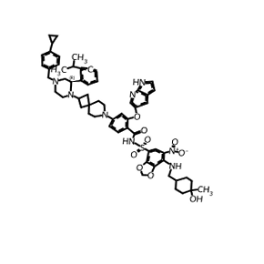 CC(C)c1ccccc1[C@@H]1CN(Cc2ccc(C3CC3)cc2)CCN1C1CC2(CCN(c3ccc(C(=O)NS(=O)(=O)c4cc([N+](=O)[O-])c(NCC5CCC(C)(O)CC5)c5c4OCO5)c(Oc4cnc5[nH]ccc5c4)c3)CC2)C1